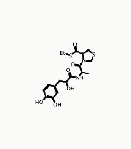 CCSC(=O)C1CSCN1C(=O)C(C)NC(=O)C(O)Cc1ccc(O)c(O)c1